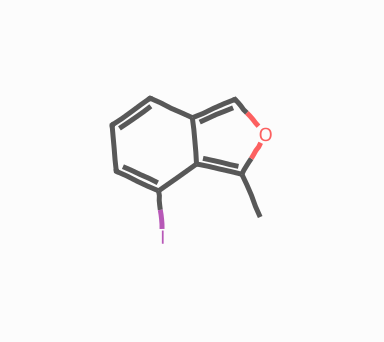 Cc1occ2cccc(I)c12